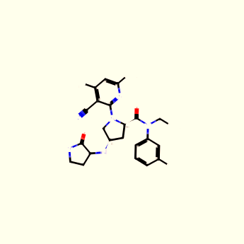 CCN(C(=O)[C@H]1C[C@@H](NC2CCNC2=O)CN1c1nc(C)cc(C)c1C#N)c1cccc(C)c1